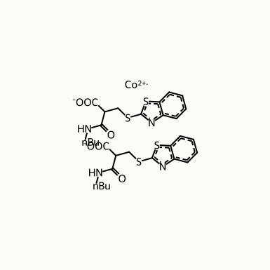 CCCCNC(=O)C(CSc1nc2ccccc2s1)C(=O)[O-].CCCCNC(=O)C(CSc1nc2ccccc2s1)C(=O)[O-].[Co+2]